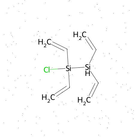 C=C[SiH](C=C)[Si](Cl)(C=C)C=C